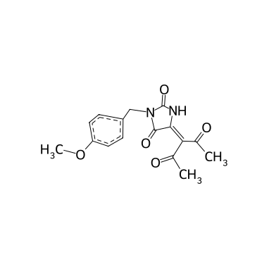 COc1ccc(CN2C(=O)NC(=C(C(C)=O)C(C)=O)C2=O)cc1